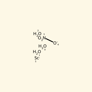 O.O.O.O=[N+]([O-])[O-].[Sc]